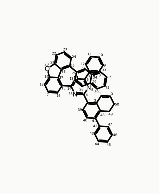 C1=Cc2c(-c3nc(-c4ccccc4)nc(-c4cccc5oc6cccc(-c7ccc8ccccc8c7)c6c45)n3)ccc(-c3ccccc3)c2CC1